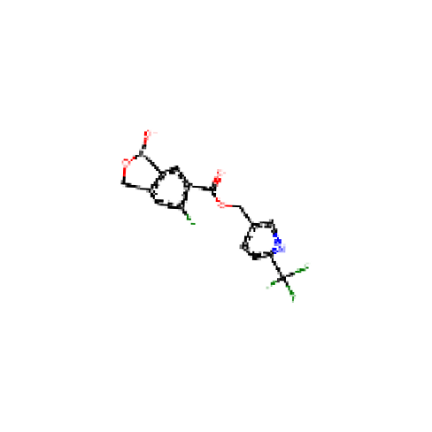 O=C(OCc1ccc(C(F)(F)F)nc1)c1cc2c(cc1F)COB2O